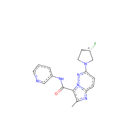 Cc1nc2ccc(N3CC[C@H](F)C3)nn2c1C(=O)Nc1cccnc1